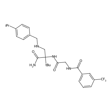 CC(C)c1ccc(CNCC(NC(=O)CNC(=O)c2cccc(C(F)(F)F)c2)(C(N)=O)C(C)(C)C)cc1